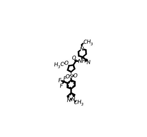 CCN1CCC(C#N)(NC(=O)C2C[C@H](S(=O)(=O)c3ccc(-c4cnn(C)c4)cc3C(F)(F)F)C[C@@H]2OC)CC1